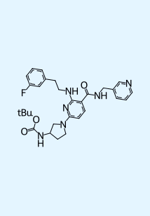 CC(C)(C)OC(=O)NC1CCN(c2ccc(C(=O)NCc3cccnc3)c(NCCc3cccc(F)c3)n2)C1